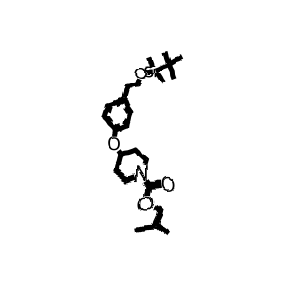 CC(C)COC(=O)N1CCC(Oc2ccc(CCO[Si](C)(C)C(C)(C)C)cc2)CC1